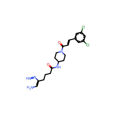 N=N/C(=C\N)CCCC(=O)NC1CCN(C(=O)/C=C/c2cc(Cl)cc(Cl)c2)CC1